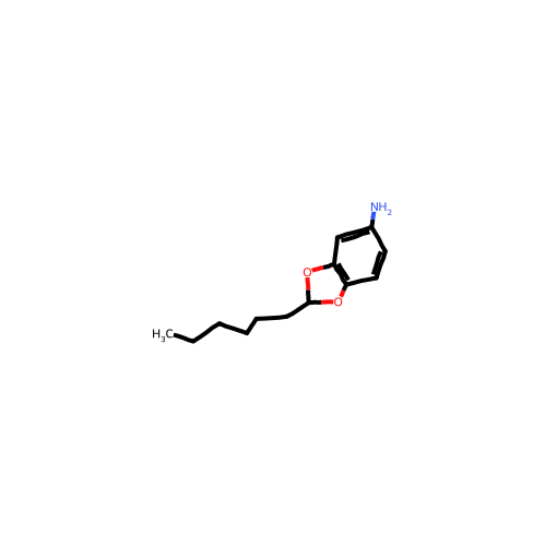 CCCCCCC1Oc2ccc(N)cc2O1